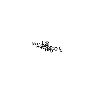 N#Cc1ccc(-c2ccc(CC(NC(=O)C3Cc4cc5c(cc4CN3Cc3ccccc3Cl)OC(c3ccc(OCc4ccc(Cl)c(Cl)c4)cc3)C(=O)N5)C(=O)O)cc2)cc1